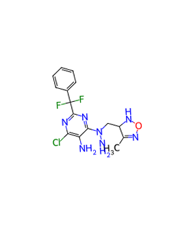 CC1=NONC1CN(N)c1nc(C(F)(F)c2ccccc2)nc(Cl)c1N